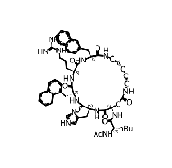 CCCC[C@H](NC(C)=O)C(=O)N[C@H]1CC(=O)NCCCCCNC(=O)[C@H](Cc2ccc3ccccc3c2)NC(=O)[C@H](CCCNC(=N)N)NC(=O)[C@@H](Cc2cccc3ccccc23)NC(=O)[C@H](Cc2c[nH]cn2)NC1=O